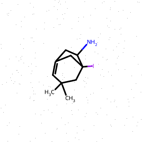 CC1(C)C=C2CC(N)C(I)(C2)C1